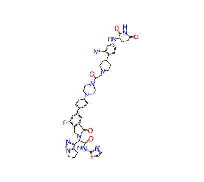 N#Cc1cc(NC2CCC(=O)NC2=O)ccc1C1CCN(CC(=O)N2CCN(c3ccc(-c4cc(F)c5c(c4)C(=O)N(C(C(=O)Nc4nccs4)c4ncn6c4CCC6)C5)cc3)CC2)CC1